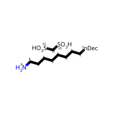 CCCCCCCCCCCCCCCCCCN.O=S(=O)(O)CS(=O)(=O)O